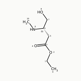 CCOC(=O)C[C@@H](CO)NC